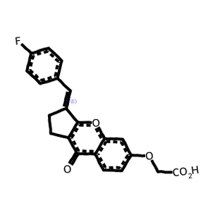 O=C(O)COc1ccc2c(=O)c3c(oc2c1)/C(=C/c1ccc(F)cc1)CC3